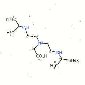 CCCCCCC(C)NCCN(CCNC(C)CCCCCC)CC(=O)O